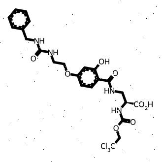 O=C(NCCOc1ccc(C(=O)NC[C@H](NC(=O)OCC(Cl)(Cl)Cl)C(=O)O)c(O)c1)NCc1ccccc1